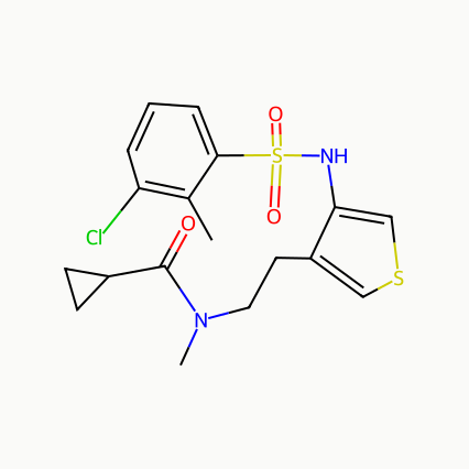 Cc1c(Cl)cccc1S(=O)(=O)Nc1cscc1CCN(C)C(=O)C1CC1